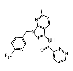 Cc1ccc2c(NC(=O)c3cccnn3)nn(Cc3ccc(C(F)(F)F)nc3)c2n1